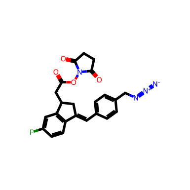 [N-]=[N+]=NCc1ccc(/C=C2\CC(CC(=O)ON3C(=O)CCC3=O)c3cc(F)ccc32)cc1